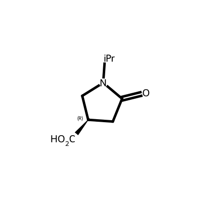 CC(C)N1C[C@H](C(=O)O)CC1=O